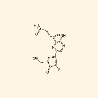 CC(C)(C)Cn1cc(-c2cnc3[nH]cc(C=CC(N)=O)c3n2)cc(F)c1=O